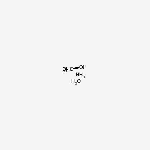 N.O.O=CO.[Zr]